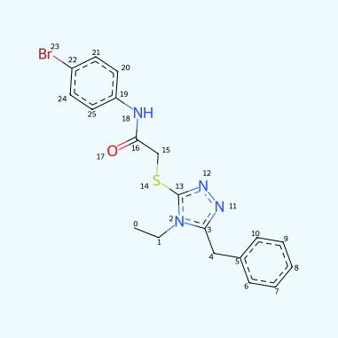 CCn1c(Cc2ccccc2)nnc1SCC(=O)Nc1ccc(Br)cc1